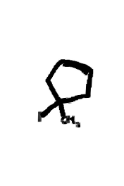 CC1(I)CC=CC1